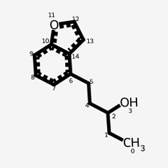 CCC(O)CCc1cccc2occc12